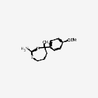 COc1ccc(C2(C)CCCSC(N)=N2)cc1